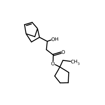 CCC1(OC(=O)CC(O)C2CC3C=CC2C3)CCCC1